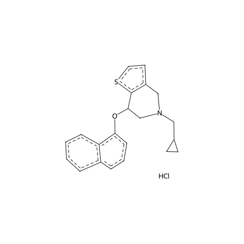 Cl.c1ccc2c(OC3CN(CC4CC4)Cc4ccsc43)cccc2c1